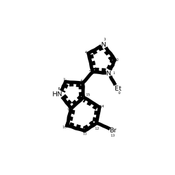 CCn1cncc1-c1c[nH]c2ccc(Br)cc12